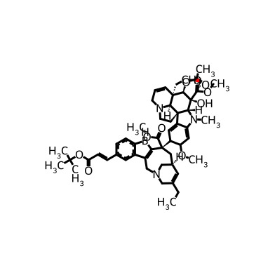 CCC1=C[C@H]2CN(C1)CC1=C(Bc3ccc(/C=C/C(=O)OC(C)(C)C)cc31)[C@@](C(=O)OC)(C1C=C3C(=CC1OC)N(C)[C@H]1[C@@](O)(C(=O)OC)[C@H](OC(C)=O)[C@]4(CC)C=CCN5CC[C@]31[C@@H]54)C2